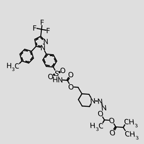 Cc1ccc(-c2cc(C(F)(F)F)nn2-c2ccc(S(=O)(=O)NC(=O)OCC3CCCN(/N=N\OC(C)OC(=O)C(C)C)C3)cc2)cc1